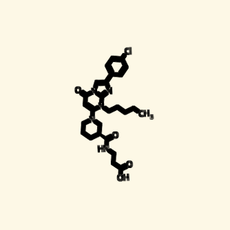 CCCCCn1c(N2CCC[C@H](C(=O)NCCC(=O)O)C2)cc(=O)n2cc(-c3ccc(Cl)cc3)nc12